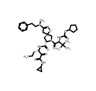 CCC[C@H](NC(=O)[C@@H]1C[C@]2(CC(N(C)CCc3ccccc3)=NO2)CN1C(=O)[C@@H](NC(=O)OC1CCCC1)C(C)(C)C)C(=O)C(=O)NC1CC1